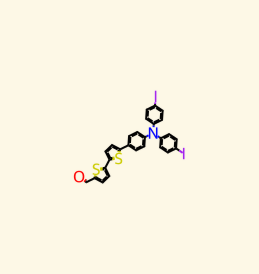 O=Cc1ccc(-c2ccc(-c3ccc(N(c4ccc(I)cc4)c4ccc(I)cc4)cc3)s2)s1